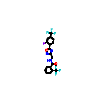 O=C(NCc1noc(-c2ccc(C(F)(F)F)cc2I)n1)c1ccccc1C(F)(F)F